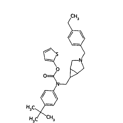 CCc1ccc(CN2CC3C(C2)C3CN(C(=O)Oc2cccs2)c2ccc(C(C)(C)C)cc2)cc1